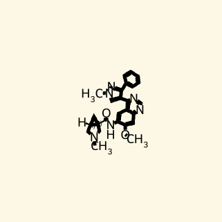 COc1cc2ncnc(-c3cn(C)nc3-c3ccccc3)c2cc1NC(=O)[C@]12C[C@H]1CN(C)C2